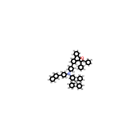 c1ccc(-c2oc3c4ccccc4c4ccc(-c5ccc(N(c6ccc(-c7ccc8ccccc8c7)cc6)c6ccc([Si](c7ccccc7)(c7ccccc7)c7ccccc7)cc6)cc5)cc4c3c2-c2ccccc2)cc1